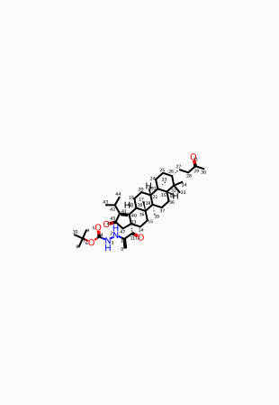 C=C(NNC(=O)OC(C)(C)C)C(=O)[C@@]12CC[C@]3(C)[C@H](CC[C@@H]4[C@@]5(C)CC[C@H](CCC(C)=O)C(C)(C)[C@@H]5CC[C@]43C)C1=C(C(C)C)C(=O)C2